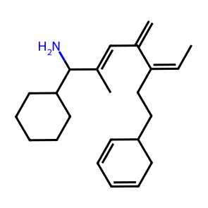 C=C(/C=C(\C)C(N)C1CCCCC1)/C(=C\C)CCC1C=CC=CC1